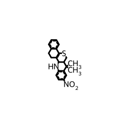 CC1(C)c2cc([N+](=O)[O-])ccc2NC2C3=C(SCC21)c1ccccc1CC3